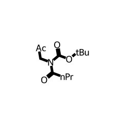 CCCC(=O)N(CC(C)=O)C(=O)OC(C)(C)C